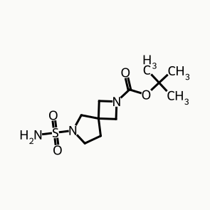 CC(C)(C)OC(=O)N1CC2(CCN(S(N)(=O)=O)C2)C1